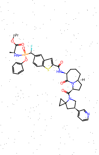 CCCOC(=O)[C@H](C)NP(=O)(Oc1ccccc1)[C@@H](F)c1ccc2sc(C(=O)N[C@H]3CCC[C@H]4CC[C@@H](C(=O)N5C[C@@H](c6cccnc6)CC56CC6)N4C3=O)cc2c1